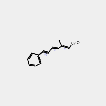 CC(/C=C/C=C/c1ccccc1)=C\C=O